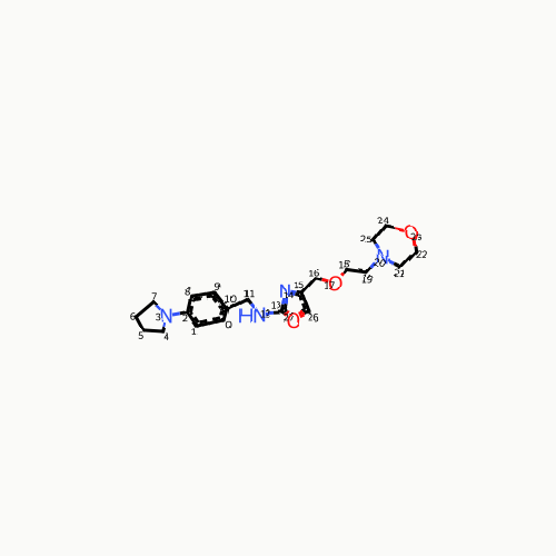 c1cc(N2CCCC2)ccc1CNc1nc(COCCN2CCOCC2)co1